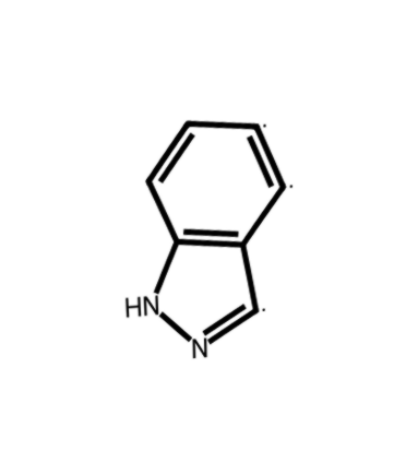 [c]1[c]c2[c]n[nH]c2cc1